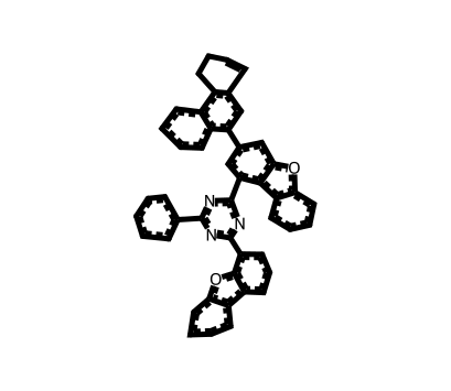 C1=Cc2cc(-c3cc(-c4nc(-c5ccccc5)nc(-c5cccc6c5oc5ccccc56)n4)c4c(c3)oc3ccccc34)c3ccccc3c2CC1